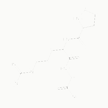 N=C(N)NCCCC(NC(=O)C1CCCN1)C(=O)NCC(N)=O